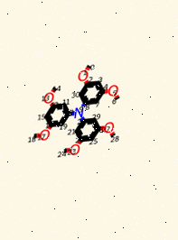 COc1cc(OC)cc(N(c2cc(OC)cc(OC)c2)c2cc(OC)cc(OC)c2)c1